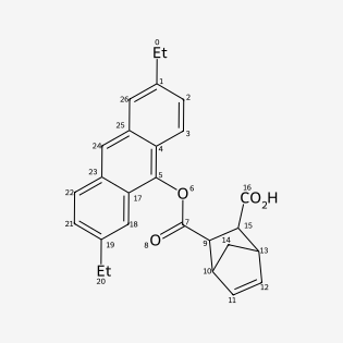 CCc1ccc2c(OC(=O)C3C4C=CC(C4)C3C(=O)O)c3cc(CC)ccc3cc2c1